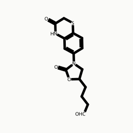 O=CCCCC1CN(c2ccc3c(c2)NC(=O)CS3)C(=O)O1